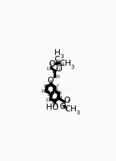 COC(=O)c1cc2cc(OCC3COC(C)(C)O3)ccc2cc1O